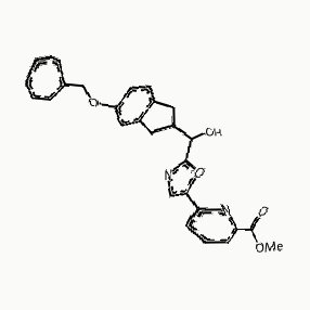 COC(=O)c1cccc(-c2cnc(C(O)C3Cc4ccc(OCc5ccccc5)cc4C3)o2)n1